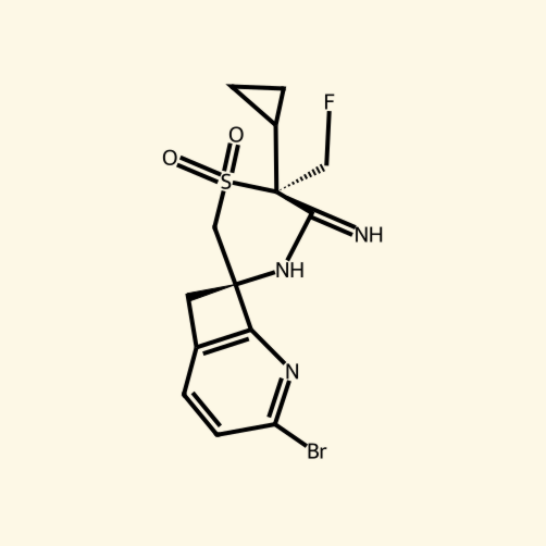 N=C1N[C@@]2(Cc3ccc(Br)nc32)CS(=O)(=O)[C@@]1(CF)C1CC1